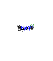 Cc1ccc(-c2ccc(CN3Cc4nc(-c5cccc(F)c5F)[nH]c4C=N3)cn2)c(C(F)(F)F)c1